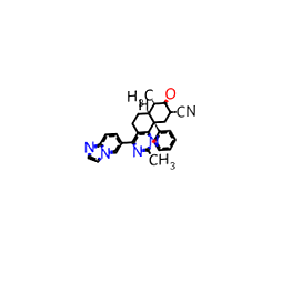 Cc1nc(-c2ccc3nccn3c2)c2c(n1)[C@@]1(c3ccccc3)CC(C#N)C(=O)[C@@H](C)[C@@H]1CC2